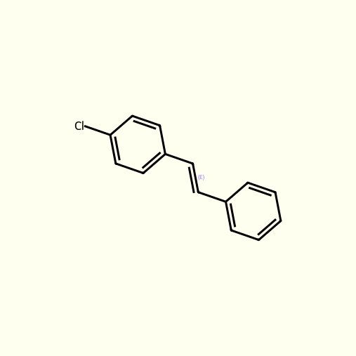 Clc1ccc(/C=C/c2ccccc2)cc1